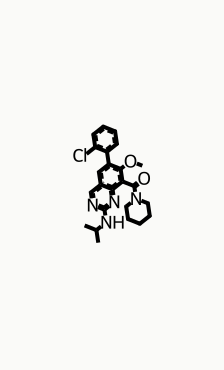 COc1c(-c2ccccc2Cl)cc2cnc(NC(C)C)nc2c1C(=O)N1CCCCC1